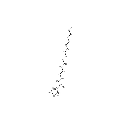 CCCCCCCCCCCCCCCCC(C)C1=NCCN1